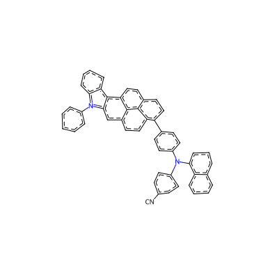 [C-]#[N+]c1ccc(N(c2ccc(-c3ccc4ccc5c6c(ccc3c46)cc3c5c4ccccc4n3-c3ccccc3)cc2)c2cccc3ccccc23)cc1